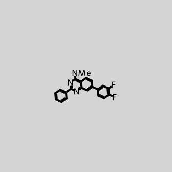 CNc1nc(-c2ccccc2)nc2cc(-c3ccc(F)c(F)c3)ccc12